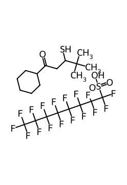 CC(C)(C)C(S)CC(=O)C1CCCCC1.O=S(=O)(O)C(F)(F)C(F)(F)C(F)(F)C(F)(F)C(F)(F)C(F)(F)C(F)(F)C(F)(F)F